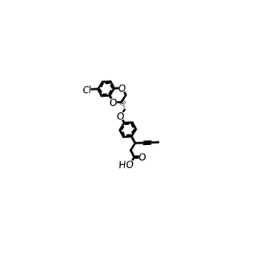 CC#CC(CC(=O)O)c1ccc(OC[C@H]2COc3ccc(Cl)cc3O2)cc1